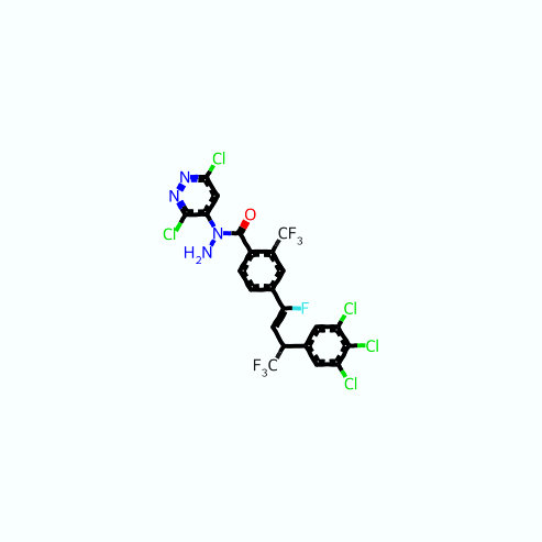 NN(C(=O)c1ccc(/C(F)=C/C(c2cc(Cl)c(Cl)c(Cl)c2)C(F)(F)F)cc1C(F)(F)F)c1cc(Cl)nnc1Cl